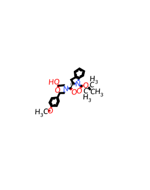 COc1ccc(CCN(CC(=O)O)C(=O)[C@H]2Cc3ccccc3N2C(=O)OC(C)(C)C)cc1